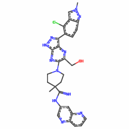 Cn1cc2c(Cl)c(-c3n[nH]c4nc(N5CCC(C)(C(=N)Nc6cnc7cccnc7c6)CC5)c(CO)nc34)ccc2n1